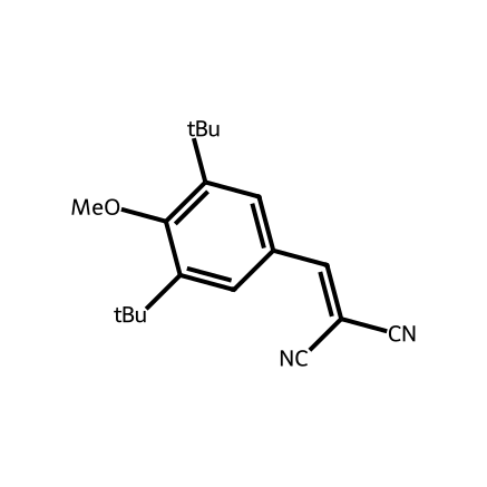 COc1c(C(C)(C)C)cc(C=C(C#N)C#N)cc1C(C)(C)C